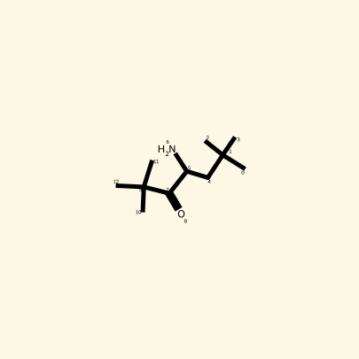 CC(C)(C)CC(N)C(=O)C(C)(C)C